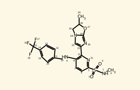 CNS(=O)(=O)c1ccc(NCc2ccc(C(F)(F)F)cc2)c(-c2cn3c(n2)OC(C)C3)n1